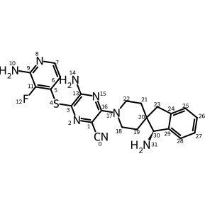 N#Cc1nc(Sc2ccnc(N)c2F)c(N)nc1N1CCC2(CC1)Cc1ccccc1[C@H]2N